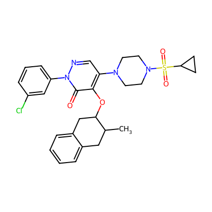 CC1Cc2ccccc2CC1Oc1c(N2CCN(S(=O)(=O)C3CC3)CC2)cnn(-c2cccc(Cl)c2)c1=O